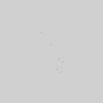 CC(C)(C)OC(=O)N1CCC(CC(=O)N2CCN(Cc3ccc(-c4ccc(Cl)c(Cl)c4)cn3)C[C@@H]2C(C)(C)C)CC1